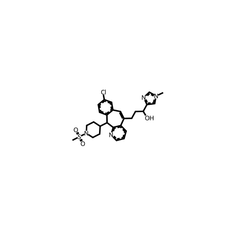 Cn1cnc(C(O)CCC2=Cc3cc(Cl)ccc3C(C3CCN(S(C)(=O)=O)CC3)c3ncccc32)c1